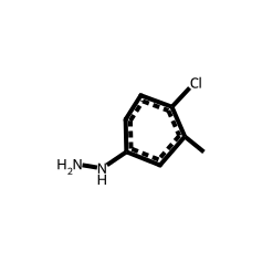 Cc1cc(NN)ccc1Cl